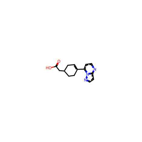 O=C(O)CC1CC=C(c2ccnc3ccnn23)CC1